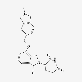 C=C1CCC(N2Cc3c(OCc4ccc5c(c4)CN(C)C5)cccc3C2=O)C(=O)N1